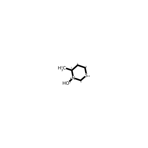 CC1CCSCN1O